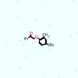 Cc1cc(C(C)(C)C)ccc1OCC(=O)C(C)C